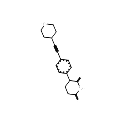 O=C1CCC(c2ccc(C#CC3CCNCC3)cc2)C(=O)N1